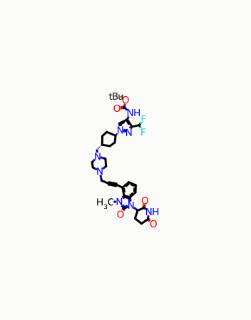 Cn1c(=O)n(C2CCC(=O)NC2=O)c2cccc(C#CCN3CCN(C[C@H]4CC[C@H](n5cc(NC(=O)OC(C)(C)C)c(C(F)F)n5)CC4)CC3)c21